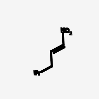 CC(C)C/C=C/[N+](=O)[O-]